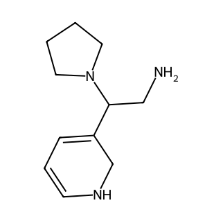 NCC(C1=CC=CNC1)N1CCCC1